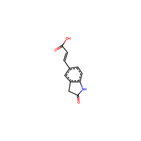 O=C(O)/C=C/c1ccc2c(c1)CC(=O)N2